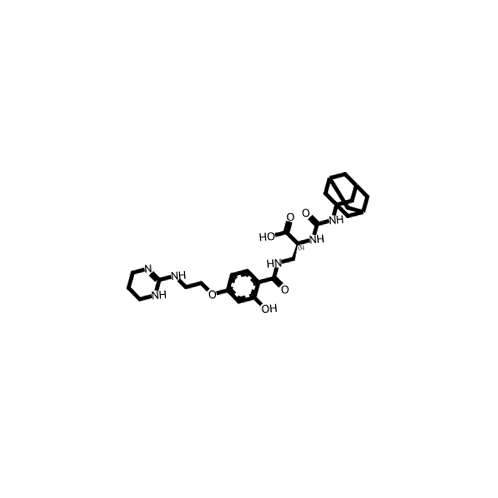 O=C(N[C@@H](CNC(=O)c1ccc(OCCNC2=NCCCN2)cc1O)C(=O)O)NC12CC3CC(CC(C3)C1)C2